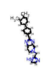 Cc1ccc(-c2ccc(-c3nc4ccn(Cc5ncc[nH]5)cc-4n3)cc2)cc1C